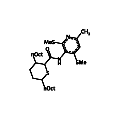 CCCCCCCCC1CCC(CCCCCCCC)C(C(=O)Nc2c(SC)cc(C)nc2SC)S1